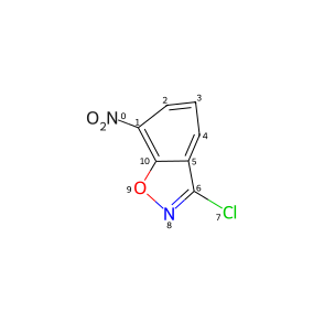 O=[N+]([O-])c1cccc2c(Cl)noc12